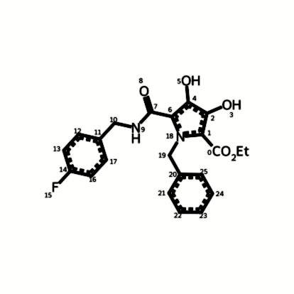 CCOC(=O)c1c(O)c(O)c(C(=O)NCc2ccc(F)cc2)n1Cc1ccccc1